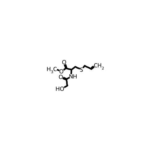 C=CCSCC(NC(=O)CO)C(=O)OC